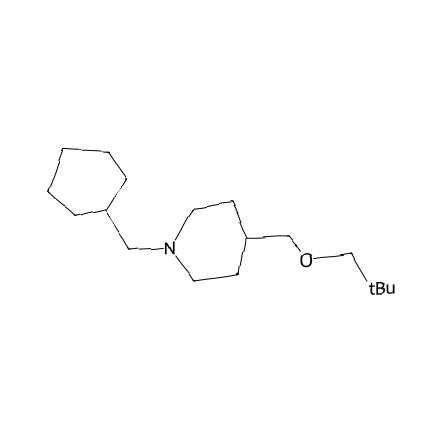 CC(C)(C)COCC1CCN(CC2CCCCC2)CC1